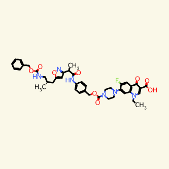 CCn1cc(C(=O)O)c(=O)c2cc(F)c(N3CCN(C(=O)OCc4ccc(NC(=O)C(C)c5cc(C[C@H](C)CNC(=O)OCc6ccccc6)on5)cc4)CC3)cc21